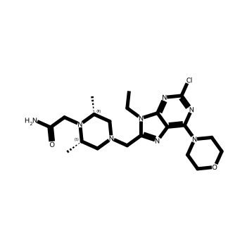 CCn1c(CN2C[C@@H](C)N(CC(N)=O)[C@@H](C)C2)nc2c(N3CCOCC3)nc(Cl)nc21